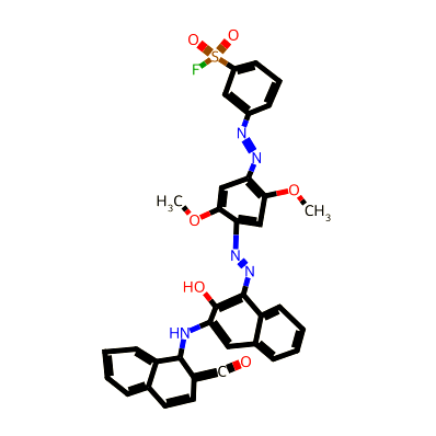 COc1cc(N=Nc2c(O)c(NC3C(=C=O)C=Cc4ccccc43)cc3ccccc23)c(OC)cc1N=Nc1cccc(S(=O)(=O)F)c1